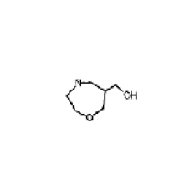 OCC1C[N]CCOC1